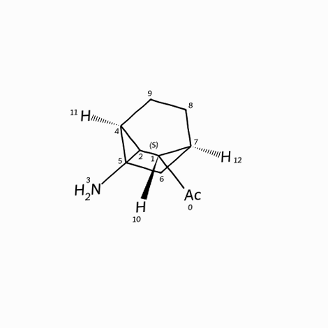 CC(=O)[C@@H]1C(N)[C@H]2CC[C@@H]1CC2